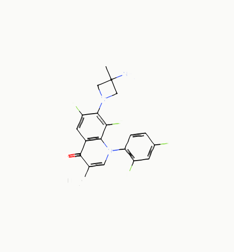 CC1(N)CN(c2c(F)cc3c(=O)c(C(=O)O)cn(-c4ccc(F)cc4F)c3c2F)C1